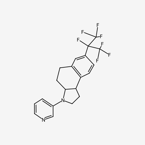 FC(F)(F)C(F)(c1ccc2c(c1)CCC1C2CCN1c1cccnc1)C(F)(F)F